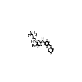 CC(=O)NCCNc1nc(Nc2ccc(CN3CCCCC3)cc2)ncc1Br